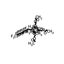 C=CC(=O)OCCO[Si]1(C)O[Si](C)(CCCC(F)(F)C(F)(F)C(F)(F)C(F)(F)C(F)(F)C(F)(F)C(F)(F)C(F)(F)F)O[Si](C)(OCCOC(=O)C=C)O[Si](C)(OCCOC(=O)C=C)O1